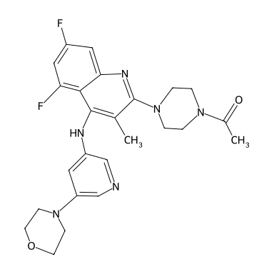 CC(=O)N1CCN(c2nc3cc(F)cc(F)c3c(Nc3cncc(N4CCOCC4)c3)c2C)CC1